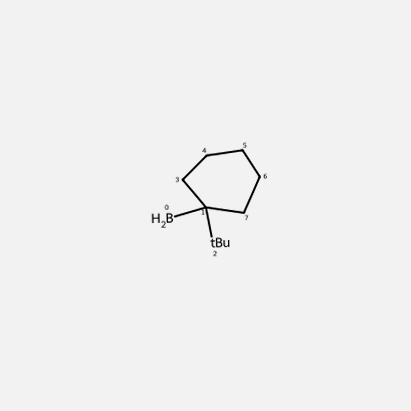 BC1(C(C)(C)C)CCCCC1